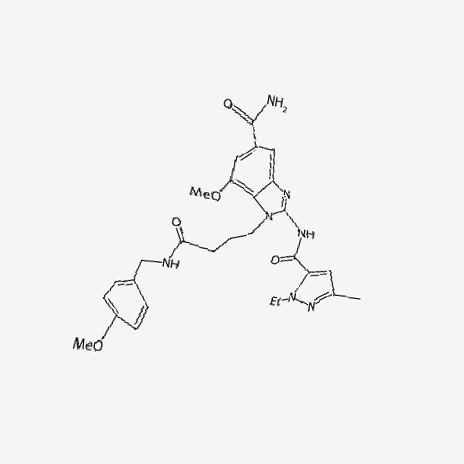 CCn1nc(C)cc1C(=O)Nc1nc2cc(C(N)=O)cc(OC)c2n1CCCC(=O)NCc1ccc(OC)cc1